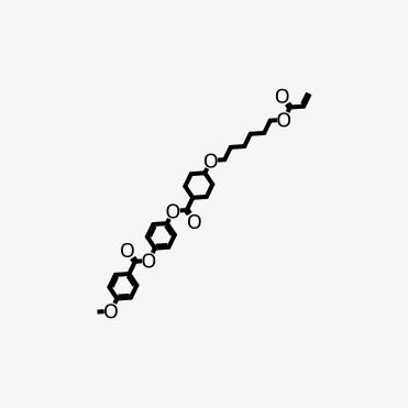 C=CC(=O)OCCCCCCOC1CCC(C(=O)Oc2ccc(OC(=O)c3ccc(OC)cc3)cc2)CC1